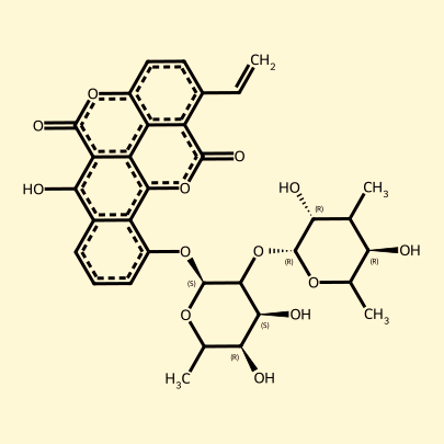 C=Cc1ccc2oc(=O)c3c(O)c4cccc(O[C@@H]5OC(C)[C@H](O)[C@H](O)C5O[C@H]5OC(C)[C@H](O)C(C)[C@H]5O)c4c4oc(=O)c1c2c34